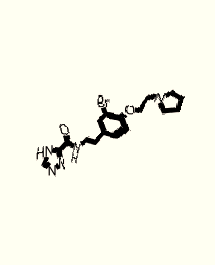 O=C(NCCc1ccc(OCCN2CCCC2)c(Br)c1)c1nnc[nH]1